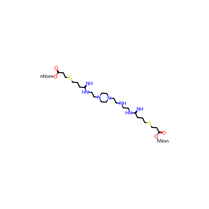 CCCCCCCCCOC(=O)CCSCCCC(=N)NCCNCCN1CCN(CCNC(=N)CCCSCCC(=O)OCCCCCCCCC)CC1